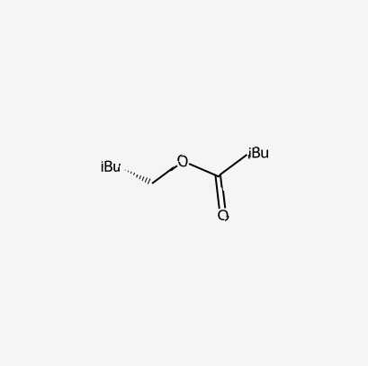 CCC(C)C(=O)OC[C@@H](C)CC